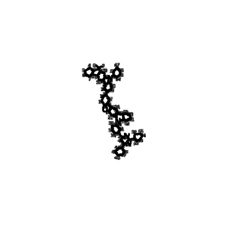 CC1(C)c2ccccc2-c2cc3c4cc(-c5ccc6oc7cc8c(cc7c6c5)c5ccccc5n8-c5cccc(-c6cc(-c7ccccc7)nc(-c7ccccc7)n6)c5)ccc4n(-c4ccccc4)c3cc21